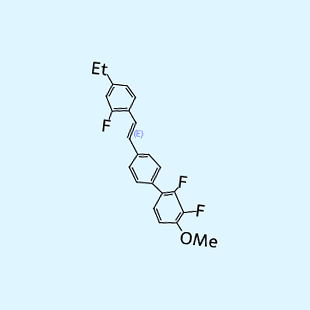 CCc1ccc(/C=C/c2ccc(-c3ccc(OC)c(F)c3F)cc2)c(F)c1